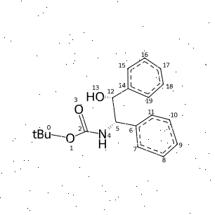 CC(C)(C)OC(=O)N[C@@H](c1ccccc1)[C@H](O)c1ccccc1